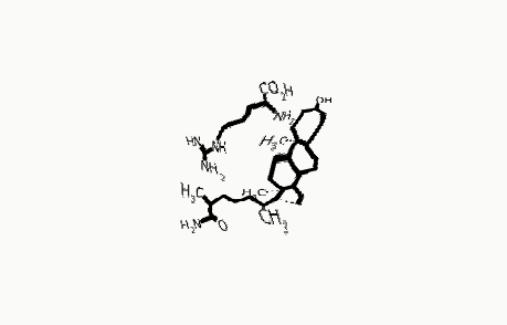 CC(CCC[C@@H](C)[C@H]1CCC2C3CC=C4CC(O)CC[C@]4(C)C3CC[C@@]21C)C(N)=O.N=C(N)NCCC[C@H](N)C(=O)O